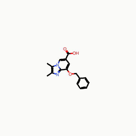 Cc1nc2c(OCc3ccccc3)cc(C(=O)O)cn2c1C